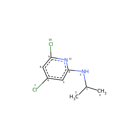 CC(C)Nc1cc(Cl)cc(Cl)n1